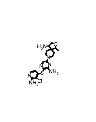 CC1OC[C@@H](N)C12CCN(c1cnc(Sc3ccnc(N)c3Cl)c(N)n1)CC2